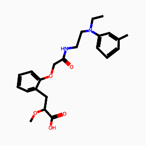 CCN(CCNC(=O)COc1ccccc1CC(OC)C(=O)O)c1cccc(C)c1